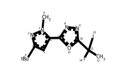 Cn1nc(C(C)(C)C)cc1-c1nnc(C(C)(I)I)o1